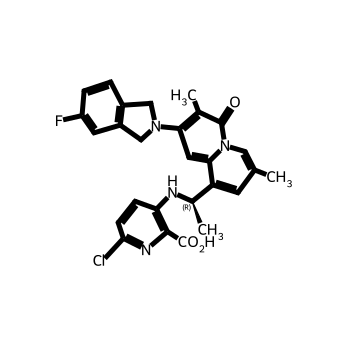 Cc1cc([C@@H](C)Nc2ccc(Cl)nc2C(=O)O)c2cc(N3Cc4ccc(F)cc4C3)c(C)c(=O)n2c1